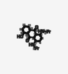 CC(C)Nc1ccc(NC(C)C)c2c1C(=O)c1cccc(O)c1C2=O